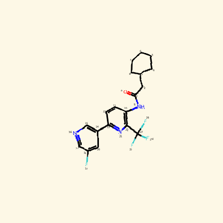 O=C(CC1CCCCC1)Nc1ccc(-c2cncc(F)c2)nc1C(F)(F)F